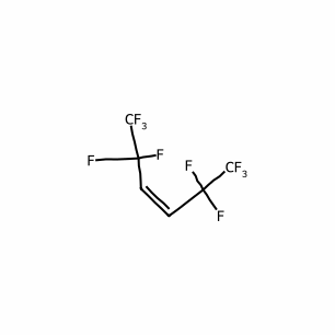 FC(F)(F)C(F)(F)/C=C\C(F)(F)C(F)(F)F